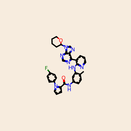 Cc1ccc(NC(=O)c2cccn2-c2ccc(F)cc2)cc1Nc1ncccc1-c1ncnc2c1ncn2C1CCCCO1